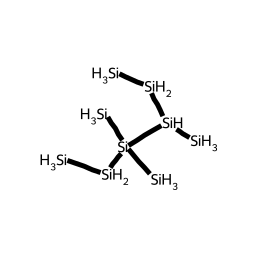 [SiH3][SiH2][SiH]([SiH3])[Si]([SiH3])([SiH3])[SiH2][SiH3]